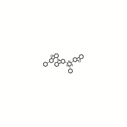 c1ccc(-c2ccc3c(c2)oc2cccc(-n4c5ccccc5c5cc(-c6nc(-c7ccccc7)nc(-c7ccc8c(c7)oc7ccccc78)n6)ccc54)c23)cc1